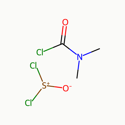 CN(C)C(=O)Cl.[O-][S+](Cl)Cl